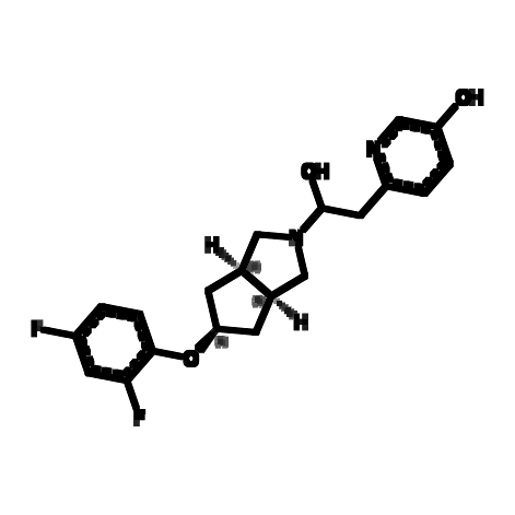 Oc1ccc(CC(O)N2C[C@H]3C[C@@H](Oc4ccc(F)cc4F)C[C@H]3C2)nc1